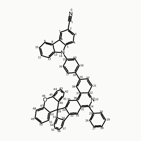 N#Cc1ccc2c(c1)c1ccccc1n2-c1ccc(-c2ccc3nc(-c4ccccc4)c4cc5c(cc4c3c2)C2(c3ccccc3Oc3ccccc32)c2ccccc2-5)cc1